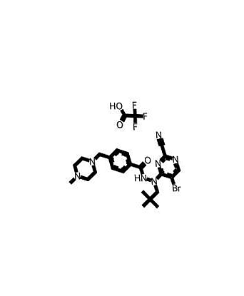 CN1CCN(Cc2ccc(C(=O)NN(CC(C)(C)C)c3nc(C#N)ncc3Br)cc2)CC1.O=C(O)C(F)(F)F